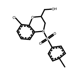 Cc1ccc(S(=O)(=O)N2CC(CO)Oc3c(Cl)cccc32)cc1